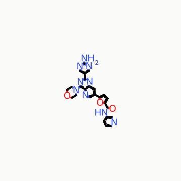 Nc1ncc(-c2nc(N3CCOCC3)c3ncc(-c4ccc(C(=O)Nc5cccnc5)o4)cc3n2)cn1